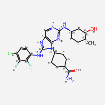 C[C@@H]1CC[C@@H](Nc2ncc3nc(Nc4ccc(Cl)c(F)c4F)n(C4CCC(C(N)=O)CC4)c3n2)C[C@H]1O